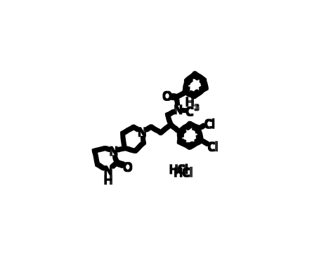 CN(CC(CCN1CCC(N2CCCNC2=O)CC1)c1ccc(Cl)c(Cl)c1)C(=O)c1ccccc1.Cl.Cl